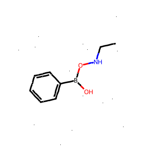 CCNOB(O)c1ccccc1